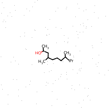 CC(O)CC(C)CCCC(C)C(C)C